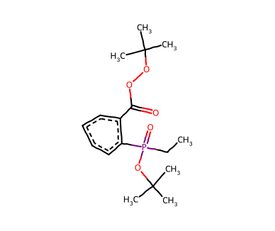 CCP(=O)(OC(C)(C)C)c1ccccc1C(=O)OOC(C)(C)C